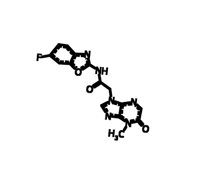 Cn1c(=O)cnc2c1ncn2CC(=O)Nc1nc2ccc(F)cc2o1